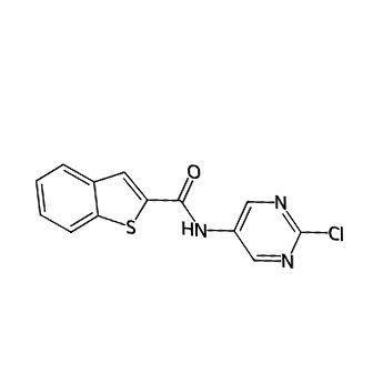 O=C(Nc1cnc(Cl)nc1)c1cc2ccccc2s1